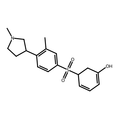 Cc1cc(S(=O)(=O)C2C=CC=C(O)C2)ccc1C1CCN(C)C1